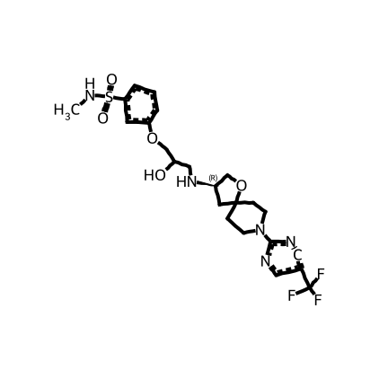 CNS(=O)(=O)c1cccc(OCC(O)CN[C@H]2COC3(CCN(c4ncc(C(F)(F)F)cn4)CC3)C2)c1